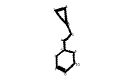 C1=CC[C](CCC2CC2)CC1